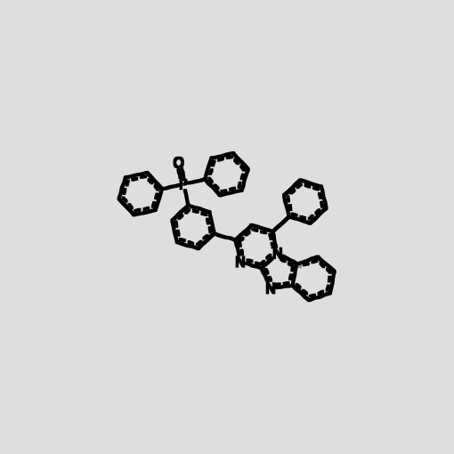 O=P(c1ccccc1)(c1ccccc1)c1cccc(-c2cc(-c3ccccc3)n3c(n2)nc2ccccc23)c1